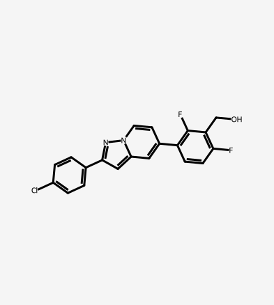 OCc1c(F)ccc(-c2ccn3nc(-c4ccc(Cl)cc4)cc3c2)c1F